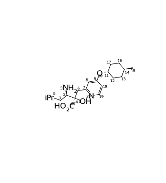 CC(C)C[C@@H](N)[C@](O)(Cc1cc(O[C@H]2CC[C@H](C)CC2)ccn1)C(=O)O